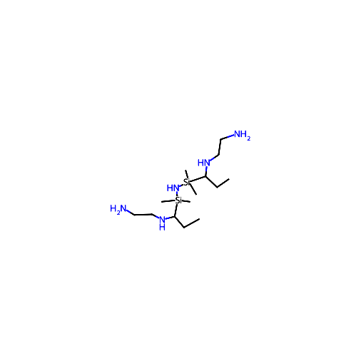 CCC(NCCN)[Si](C)(C)N[Si](C)(C)C(CC)NCCN